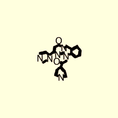 O=C(CN1c2ccccc2Cn2c1nc(-c1ccncn1)cc2=O)c1ccncc1